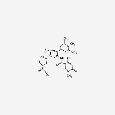 CC1CN(c2cc(F)c(C3=CCCN(C(=O)OC(C)(C)C)C3)cc2NC(=O)c2cn(C)c(=O)cc2C(F)(F)F)CC(C)N1C